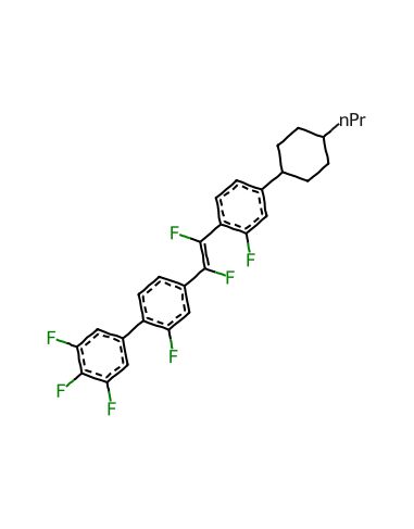 CCCC1CCC(c2ccc(/C(F)=C(\F)c3ccc(-c4cc(F)c(F)c(F)c4)c(F)c3)c(F)c2)CC1